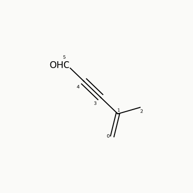 C=C(C)C#CC=O